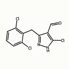 O=Cc1c(Cc2c(Cl)cccc2Cl)n[nH]c1Cl